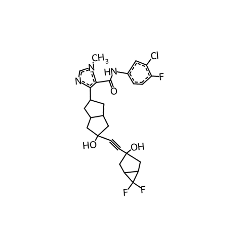 Cn1cnc(C2CC3CC(O)(C#CC4(O)CC5C(C4)C5(F)F)CC3C2)c1C(=O)Nc1ccc(F)c(Cl)c1